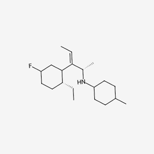 C/C=C(\C1CC(F)CC[C@H]1CC)[C@H](C)NC1CCC(C)CC1